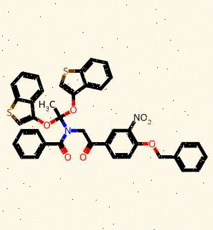 CC(Oc1csc2ccccc12)(Oc1csc2ccccc12)N(CC(=O)c1ccc(OCc2ccccc2)c([N+](=O)[O-])c1)C(=O)c1ccccc1